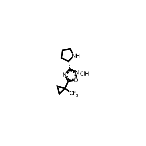 Cl.FC(F)(F)C1(c2nc([C@@H]3CCCN3)no2)CC1